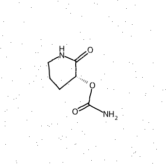 NC(=O)O[C@@H]1CCCNC1=O